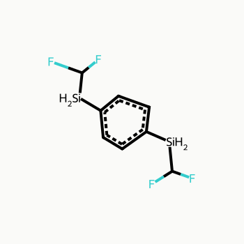 FC(F)[SiH2]c1ccc([SiH2]C(F)F)cc1